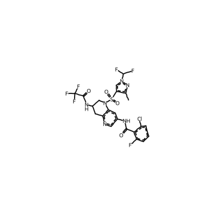 Cc1nn(C(F)F)cc1S(=O)(=O)N1CC(NC(=O)C(F)(F)F)Cc2ncc(NC(=O)c3c(F)cccc3Cl)cc21